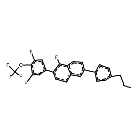 CCCc1ccc(-c2ccc3c(F)c(-c4cc(F)c(OC(F)(F)F)c(F)c4)ccc3c2)cc1